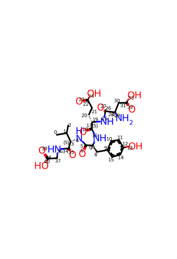 CC(C)[C@H](NC(=O)[C@H](Cc1ccc(O)cc1)NC(=O)[C@H](CCC(=O)O)NC(=O)[C@@H](N)CC(=O)O)C(=O)NCC(=O)O